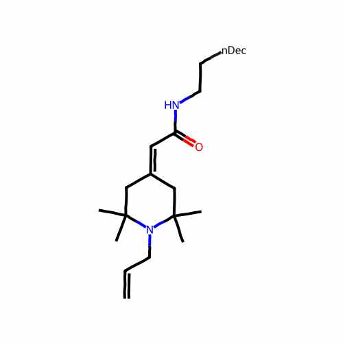 C=CCN1C(C)(C)CC(=CC(=O)NCCCCCCCCCCCC)CC1(C)C